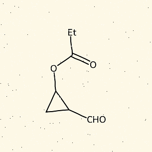 CCC(=O)OC1CC1C=O